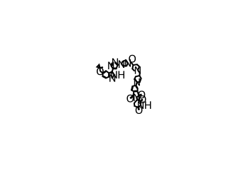 CC1(Oc2ccc3n[nH]c(-c4cc(N5CCN(C(=O)C6CCN(CC7CCN(c8ccc9c(c8)C(=O)N(C8CCC(=O)NC8=O)C9=O)CC7)CC6)CC5)ncn4)c3c2)CC1